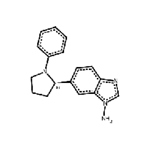 Nn1cnc2ccc([C@H]3CCCN3c3ccccc3)cc21